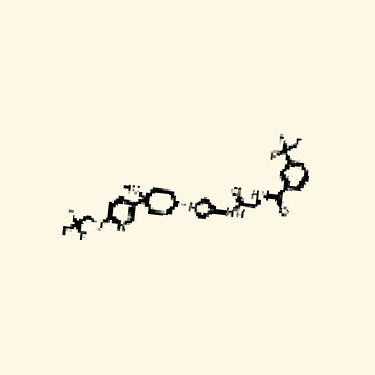 O=C(CNC(=O)c1cccc(C(F)(F)F)c1)NC1CN([C@H]2CC[C@@](O)(c3ccc(OCC(F)(F)F)nc3)CC2)C1